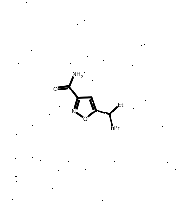 CCCC(CC)c1cc(C(N)=O)no1